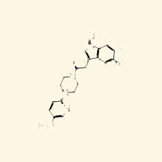 Cn1cc(CC(=O)N2CCN(c3ccc(O)cn3)CC2)c2cc(F)ccc21